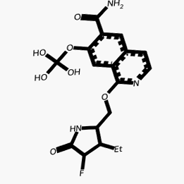 CCC1C(COc2nccc3cc(C(N)=O)c(OC(O)(O)O)cc23)NC(=O)C1F